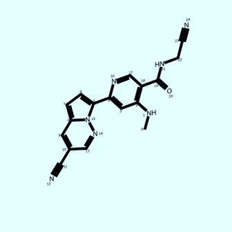 CNc1cc(-c2ccc3cc(C#N)cnn23)ncc1C(=O)NCC#N